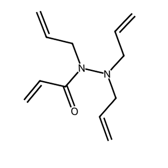 C=CCN(CC=C)N(CC=C)C(=O)C=C